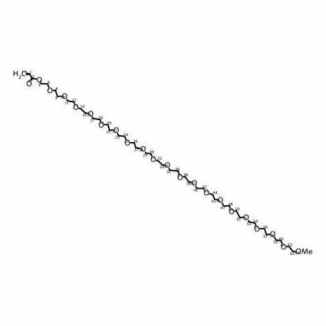 C=CC(=O)OCCOCCOCCOCCOCCOCCOCCOCCOCCOCCOCCOCCOCCOCCOCCOCCOCCOCCOCCOCCOC